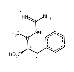 CN(NC(=N)N)[C@@H](Cc1ccccc1)C(=O)O